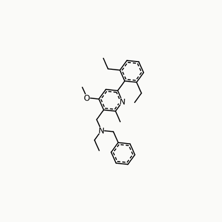 CCc1cccc(CC)c1-c1cc(OC)c(CN(CC)Cc2ccccc2)c(C)n1